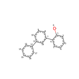 [O]c1ccccc1-c1cccc(-c2ccccc2)c1